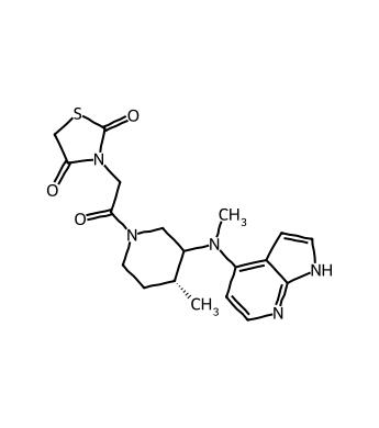 C[C@@H]1CCN(C(=O)CN2C(=O)CSC2=O)CC1N(C)c1ccnc2[nH]ccc12